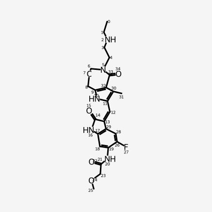 CCNCCN1CCCc2[nH]c(/C=C3\C(=O)Nc4cc(NC(=O)COC)c(F)cc43)c(C)c2C1=O